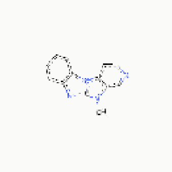 Cn1c2cnccc2n2c3ccccc3nc12